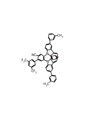 Cc1cccc(-c2ccc3c(c2)c2ccccc2n3-c2cc(C#N)c(-c3cc(C(F)(F)F)cc(C(F)(F)F)c3)cc2-n2c3ccccc3c3cc(-c4cccc(C)c4)ccc32)c1